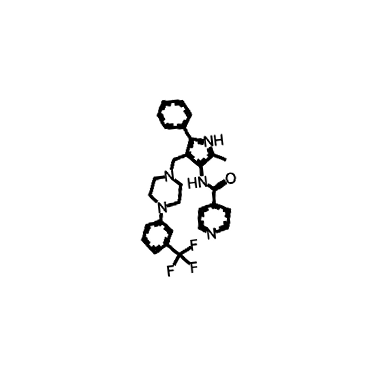 Cc1[nH]c(-c2ccccc2)c(CN2CCN(c3cccc(C(F)(F)F)c3)CC2)c1NC(=O)c1ccncc1